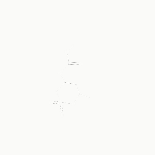 COC(=O)OC1CC(C)OS(=O)(=O)C1